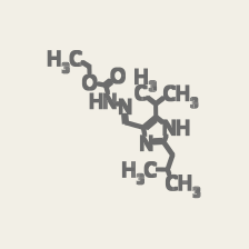 CCOC(=O)NN=Cc1nc(CC(C)C)[nH]c1C(C)C